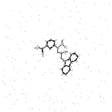 C[S+]([O-])N(CC(O)Cn1c2ccccc2c2ccccc21)c1cccc(C(N)=O)c1